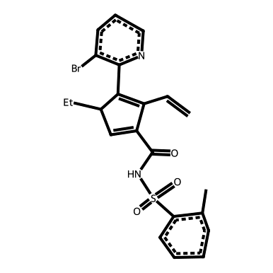 C=CC1=C(c2ncccc2Br)C(CC)C=C1C(=O)NS(=O)(=O)c1ccccc1C